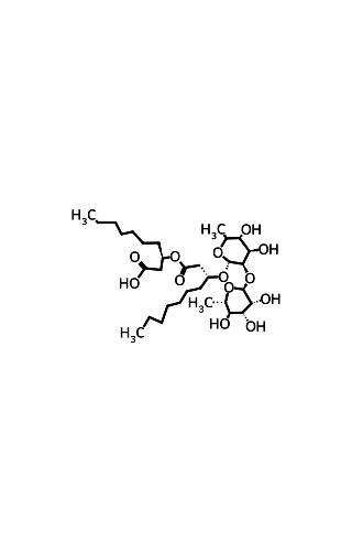 CCCCCCC[C@H](CC(=O)O)OC(=O)C[C@@H](CCCCCCC)O[C@@H]1O[C@@H](C)[C@H](O)[C@@H](O)[C@H]1O[C@@H]1O[C@@H](C)[C@H](O)[C@@H](O)[C@H]1O